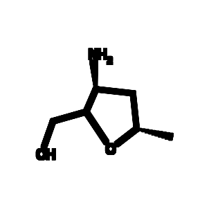 C[C@H]1C[C@H](N)C(CO)O1